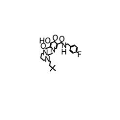 CC(C)(C)CCN1CCCN2C(=O)c3c(O)c(=O)c(C(=O)NCc4ccc(F)cc4)cn3CC12